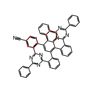 N#Cc1ccc(-c2cc(-c3ccccc3-c3nc(-c4ccccc4)nc(-c4ccccc4)n3)c(-c3ccccc3-c3nc(-c4ccccc4)nc(-c4ccccc4)n3)c3ccccc23)cc1